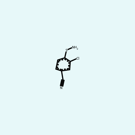 N#Cc1ccc(SN)c(Cl)c1